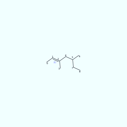 C/C=C(\C)CC(C)CC